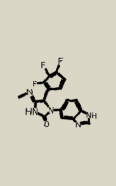 CN=C1NC(=O)N(c2ccc3[nH]cnc3c2)C1c1ccc(F)c(F)c1F